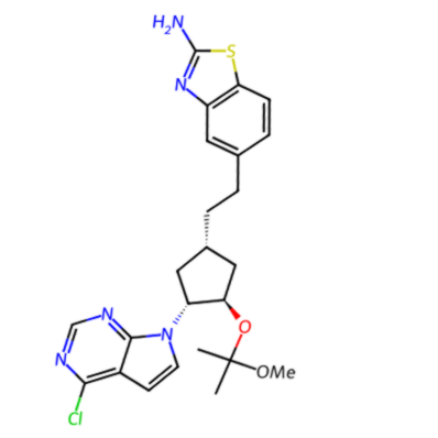 COC(C)(C)O[C@@H]1C[C@@H](CCc2ccc3sc(N)nc3c2)C[C@H]1n1ccc2c(Cl)ncnc21